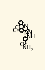 NC(=O)Cc1cccc(Nc2ncc3c(n2)-c2ccc(Cl)cc2C(c2ccccc2Cl)=NC3)c1